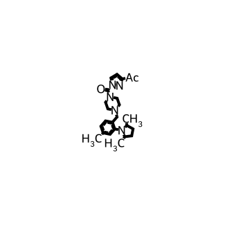 CC(=O)c1ccn(C(=O)N2CCN(Cc3ccc(C)cc3N3C(C)CCC3C)CC2)n1